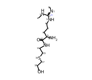 C/N=C(\NC)NCCCC(N)C(=O)NCCSCCO